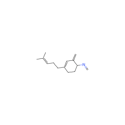 C=NC1CCC(CCC=C(C)C)=CC1=C